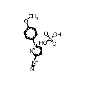 COc1ccc(-n2ccc([N+]#N)n2)cc1.O=S(=O)(O)O